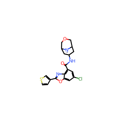 CN1C2COCC1CC(NC(=O)c1cc(Cl)cc3oc(-c4ccsc4)nc13)C2